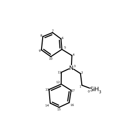 [SiH3]CCN(Cc1ccccc1)Cc1ccccc1